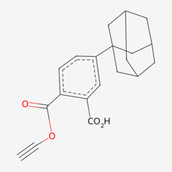 C#COC(=O)c1ccc(C23CC4CC(CC(C4)C2)C3)cc1C(=O)O